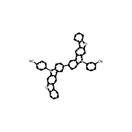 N#Cc1ccc(-n2c3ccc(-c4ccc5c(c4)c4cc6c(cc4n5-c4cccc(C#N)c4)oc4ccccc46)cc3c3cc4c(cc32)oc2ccccc24)cc1